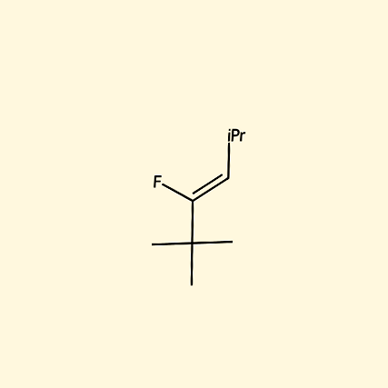 CC(C)/C=C(\F)C(C)(C)C